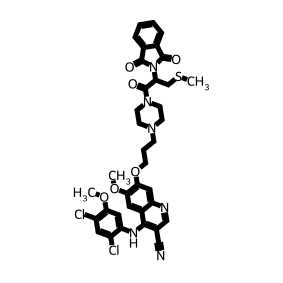 COc1cc(Nc2c(C#N)cnc3cc(OCCCN4CCN(C(=O)C(CSC)N5C(=O)c6ccccc6C5=O)CC4)c(OC)cc23)c(Cl)cc1Cl